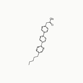 CCCCCc1ccc(-c2ccc(-c3ccc(CC(=O)O)cc3)cc2)nc1